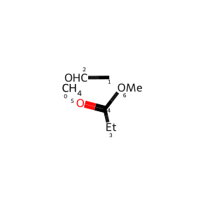 C.CC=O.CCC(=O)OC